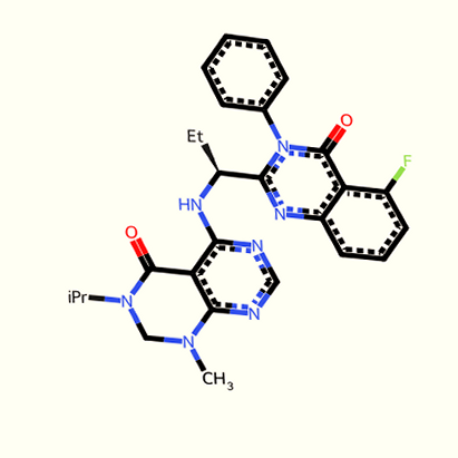 CC[C@H](Nc1ncnc2c1C(=O)N(C(C)C)CN2C)c1nc2cccc(F)c2c(=O)n1-c1ccccc1